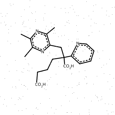 Cc1nc(C)c(CC(CCCC(=O)O)(C(=O)O)c2ccccn2)nc1C